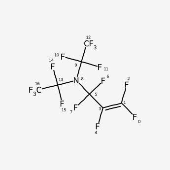 FC(F)=C(F)C(F)(F)N(C(F)(F)C(F)(F)F)C(F)(F)C(F)(F)F